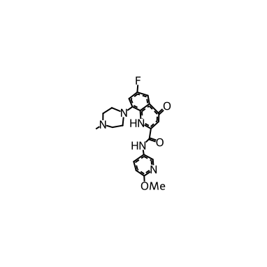 COc1ccc(NC(=O)c2cc(=O)c3cc(F)cc(N4CCN(C)CC4)c3[nH]2)cn1